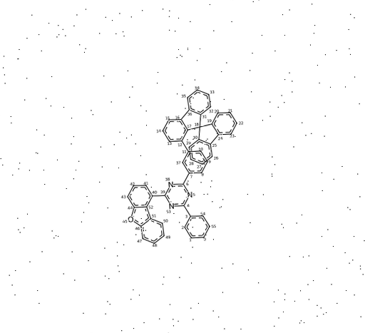 c1ccc(-c2nc(-c3cccc(-c4cccc5c4C4(c6ccccc6-c6ccccc64)c4ccccc4-5)c3)nc(-c3cccc4oc5ccccc5c34)n2)cc1